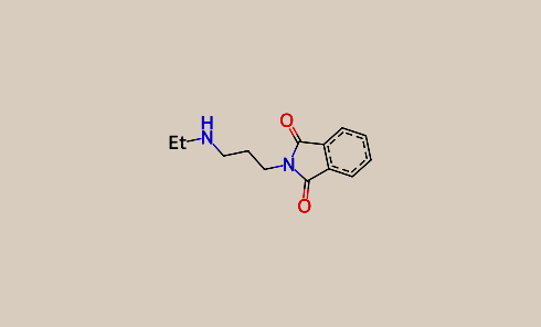 CCNCCCN1C(=O)c2ccccc2C1=O